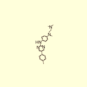 Cc1ccc(-c2cnc(Nc3ccc(N(C)CCN(C)C)cc3)nc2)cc1